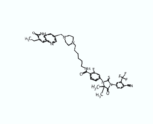 CCc1cc2ncc(CN3CCN(CCCCCCNC(=O)c4ccc(N5C(=S)N(c6ccc(C#N)c(C(F)(F)F)c6)C(=O)C5(C)C)cc4F)CC3)cc2[nH]c1=O